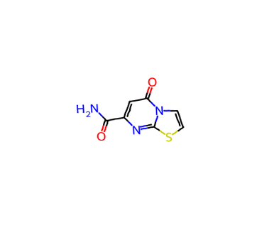 NC(=O)c1cc(=O)n2ccsc2n1